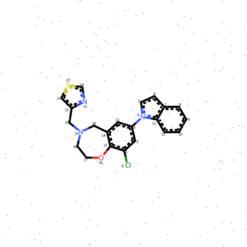 Clc1cc(-n2ccc3ccccc32)cc2c1OCCN(Cc1cscn1)C2